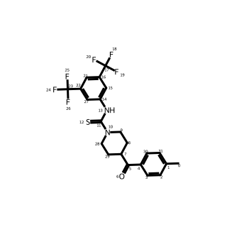 Cc1ccc(C(=O)C2CCN(C(=S)Nc3cc(C(F)(F)F)cc(C(F)(F)F)c3)CC2)cc1